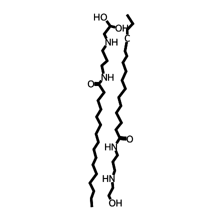 CCCCCCCCCCCCCCCC(=O)NCCCNCC(O)O.CCCCCCCCCCCCCCCC(=O)NCCCNCCO